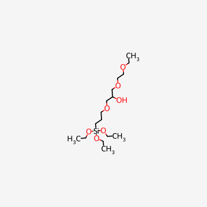 CCOCCOCC(O)COCCC[Si](OCC)(OCC)OCC